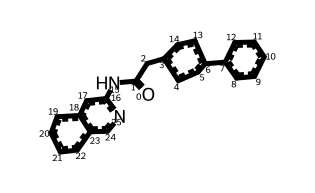 O=C(Cc1ccc(-c2ccccc2)cc1)Nc1cc2ccccc2cn1